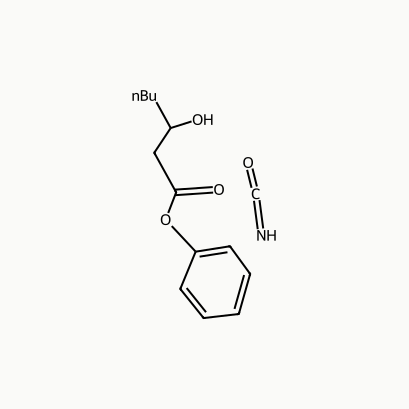 CCCCC(O)CC(=O)Oc1ccccc1.N=C=O